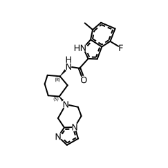 Cc1ccc(F)c2cc(C(=O)N[C@@H]3CCC[C@H](N4CCn5ccnc5C4)C3)[nH]c12